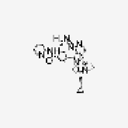 NN=Nc1nccn2c([C@@H]3CCCN3C(=O)C#CC3CC3)nc(-c3ccc(C(=O)Nc4ccccn4)cc3)c12